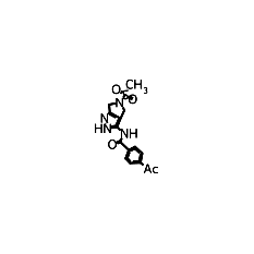 CC(=O)c1ccc(C(=O)Nc2[nH]nc3c2CN(S(C)(=O)=O)C3)cc1